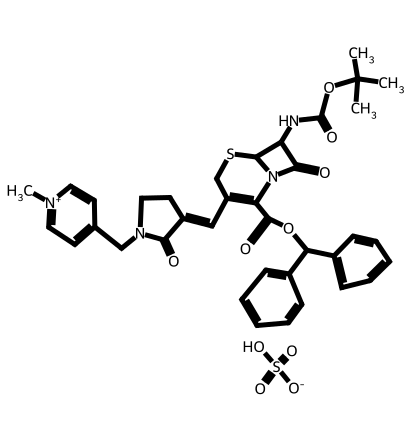 C[n+]1ccc(CN2CCC(=CC3=C(C(=O)OC(c4ccccc4)c4ccccc4)N4C(=O)C(NC(=O)OC(C)(C)C)C4SC3)C2=O)cc1.O=S(=O)([O-])O